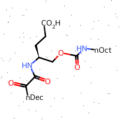 CCCCCCCCCCC(=O)C(=O)N[C@@H](CCC(=O)O)COC(=O)NCCCCCCCC